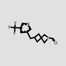 O=CN1CC2(CC(Cc3cncc(C(F)(F)F)c3)C2)C1